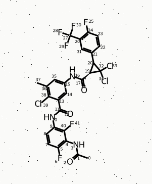 CC(=O)Nc1c(F)ccc(NC(=O)c2cc(NC(=O)[C@H]3C(c4ccc(F)c(C(F)(F)F)c4)C3(Cl)Cl)cc(C)c2Cl)c1F